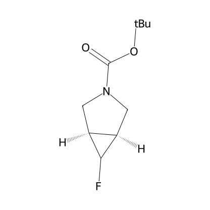 CC(C)(C)OC(=O)N1C[C@@H]2C(F)[C@@H]2C1